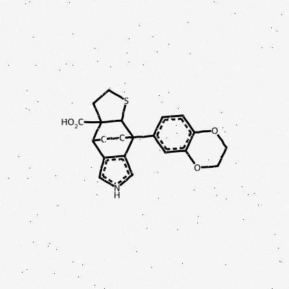 O=C(O)C12CCSC1C1(c3ccc4c(c3)OCCO4)CCC2c2c[nH]cc21